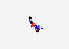 CC(NC(=O)Nc1ccc(S(=O)(=O)C(C)c2ccc3c(c2)CN(Cc2ccccc2)C3)cc1)c1ccccc1